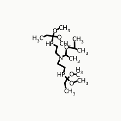 CCC(OC)(OC)PCCN(CCPC(CC)(OC)OC)C(C)OC(C)C